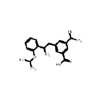 CC(C)Oc1ccccc1C(C)Cc1cc(C(=O)O)cc(C(C)C)c1